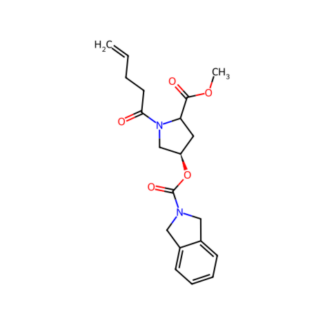 C=CCCC(=O)N1C[C@H](OC(=O)N2Cc3ccccc3C2)CC1C(=O)OC